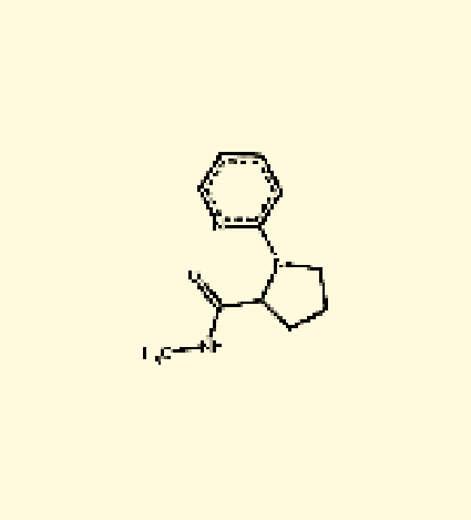 CNC(=O)C1CCCN1c1ccccn1